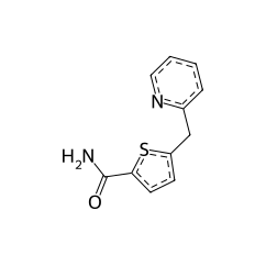 NC(=O)c1ccc(Cc2ccccn2)s1